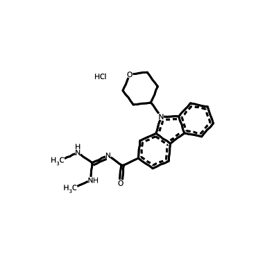 CNC(=NC(=O)c1ccc2c3ccccc3n(C3CCOCC3)c2c1)NC.Cl